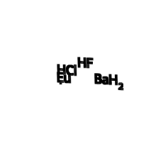 Cl.F.[BaH2].[Eu]